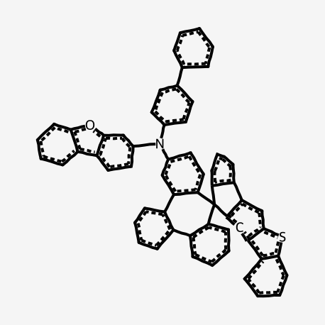 c1ccc(-c2ccc(N(c3ccc4c(c3)-c3ccccc3-c3ccccc3C43c4ccccc4-c4cc5sc6ccccc6c5cc43)c3ccc4c(c3)oc3ccccc34)cc2)cc1